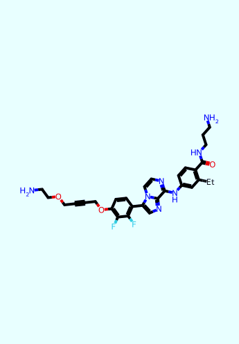 CCc1cc(Nc2nccn3c(-c4ccc(OCC#CCOCCN)c(F)c4F)cnc23)ccc1C(=O)NCCCN